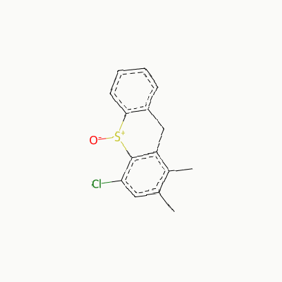 Cc1cc(Cl)c2c(c1C)Cc1ccccc1[S+]2[O-]